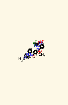 COc1cc(C(=O)N(C)c2ccccc2N2CCN(C)CC2)ccc1NC(=O)c1cccc([N+](=O)[O-])c1NC(=O)C(F)(F)F